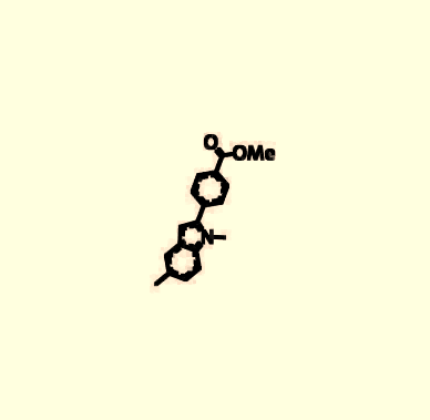 COC(=O)c1ccc(-c2cc3cc(C)ccc3n2C)cc1